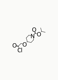 CC(C)OC(=O)N1CCC(OCC(=O)Cl)CC1